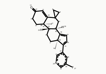 C[C@]12CC[C@H]3[C@@H](CC4(CC4)C4=CC(=O)CC[C@@]43C)C1=CC=C2c1cncc(F)c1